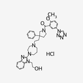 COc1ccc(-n2cnnn2)cc1C(=O)N1CCC(CCN2CCCN(c3nc4ccccc4n3CCO)CC2)(c2ccccc2)C1.Cl